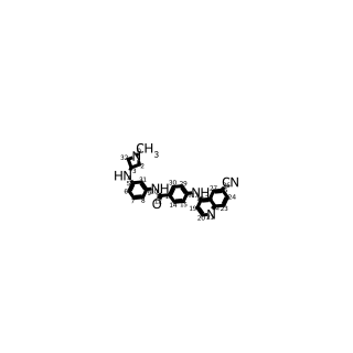 CN1CC(Nc2cccc(NC(=O)c3ccc(Nc4ccnc5ccc(C#N)cc45)cc3)c2)C1